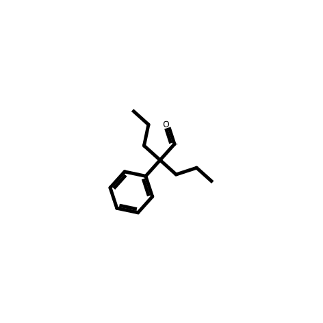 CCCC([C]=O)(CCC)c1ccccc1